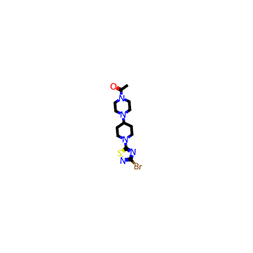 CC(=O)N1CCN(C2CCN(c3nc(Br)ns3)CC2)CC1